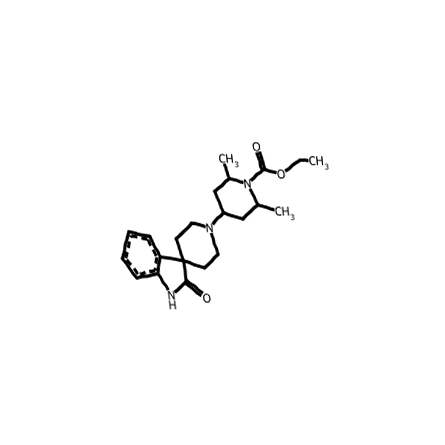 CCOC(=O)N1C(C)CC(N2CCC3(CC2)C(=O)Nc2ccccc23)CC1C